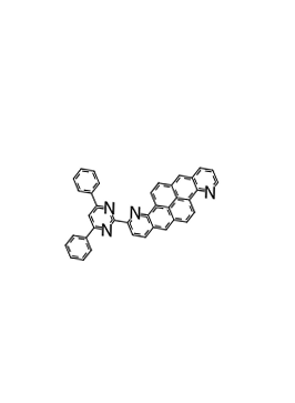 c1ccc(-c2cc(-c3ccccc3)nc(-c3ccc4cc5ccc6c7ncccc7cc7ccc(c4n3)c5c76)n2)cc1